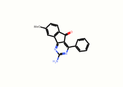 COc1ccc2c(c1)-c1nc(N)nc(-c3ccccc3)c1C2=O